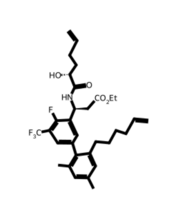 C=CCCCCc1cc(C)cc(C)c1-c1cc([C@H](CC(=O)OCC)NC(=O)[C@H](O)CCC=C)c(F)c(C(F)(F)F)c1